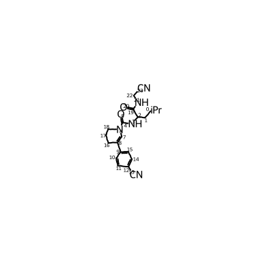 CC(C)CC(NC(=O)N1C=C(c2ccc(C#N)cc2)CCC1)C(=O)NCC#N